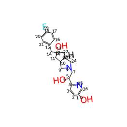 Oc1ccc(C(O)CN2CC3C[C@@](O)(Cc4ccc(F)cc4)C[C@@H]3C2)nc1